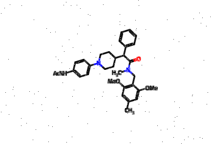 COc1cc(C)cc(OC)c1CN(C)C(=O)C(c1ccccc1)C1CCN(c2ccc(NC(C)=O)cc2)CC1